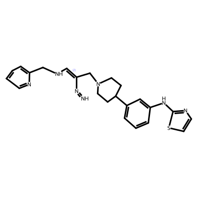 N=N/C(=C\NCc1ccccn1)CN1CCC(c2cccc(Nc3nccs3)c2)CC1